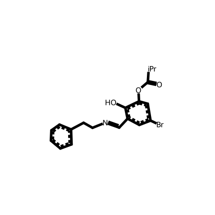 CC(C)C(=O)Oc1cc(Br)cc(C=NCCc2ccccc2)c1O